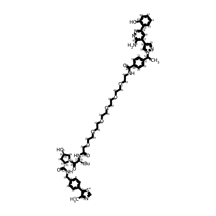 Cc1ncsc1-c1ccc(CNC(=O)[C@@H]2C[C@@H](O)CN2C(=O)[C@@H](NC(=O)COCCOCCOCCOCCOCCOCCNC(=O)c2ccc(C(C)n3cc(-c4cc(-c5ccccc5O)nnc4N)cn3)cc2)C(C)(C)C)cc1